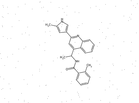 Cc1cc(-c2cc(C(C)NC(=O)c3ccccc3C)c3ccccc3n2)c[nH]1